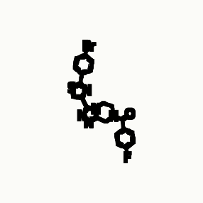 O=C(c1ccc(F)cc1)N1CCn2c(nnc2-c2csc(-c3ccc(Br)cc3)n2)C1